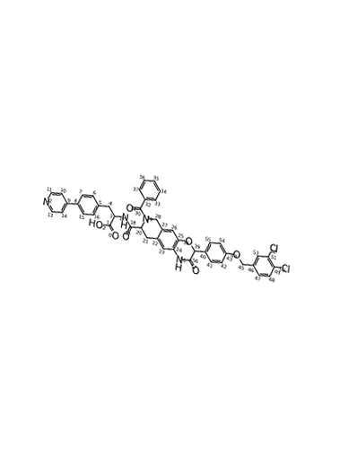 O=C(O)C(Cc1ccc(-c2ccncc2)cc1)NC(=O)C1Cc2cc3c(cc2CN1C(=O)c1ccccc1)OC(c1ccc(OCc2ccc(Cl)c(Cl)c2)cc1)C(=O)N3